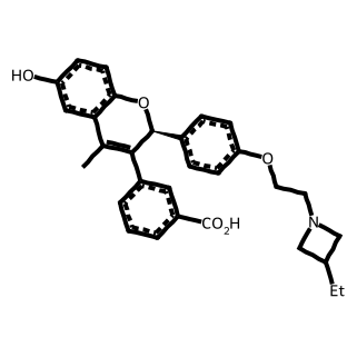 CCC1CN(CCOc2ccc([C@@H]3Oc4ccc(O)cc4C(C)=C3c3cccc(C(=O)O)c3)cc2)C1